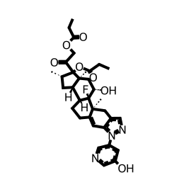 CCC(=O)OCC(=O)C1(OC(=O)CC)[C@@H](C)C[C@H]2[C@@H]3CCC4=Cc5c(cnn5-c5cncc(O)c5)C[C@]4(C)[C@@]3(F)[C@@H](O)C[C@@]21C